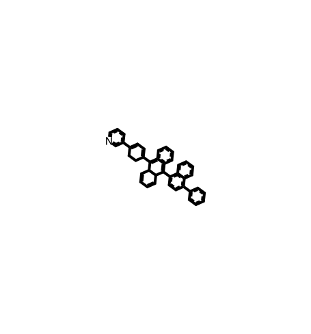 C1=CC2C(C3=CC=C(c4cccnc4)CC3)=c3ccccc3=C(c3ccc(-c4ccccc4)c4ccccc34)C2C=C1